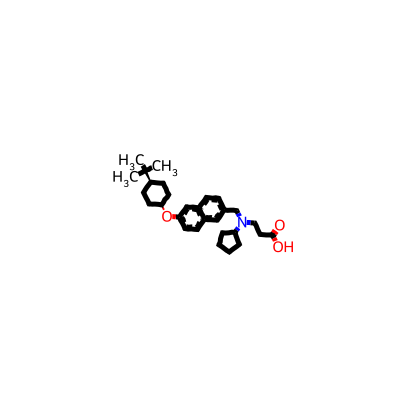 CC(C)(C)[C@H]1CC[C@H](Oc2ccc3cc(CN(CCC(=O)O)C4CCCC4)ccc3c2)CC1